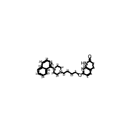 O=C1CCc2ccc(OCCCCN3CCN(c4nccc5ccccc45)CC3)nc2N1